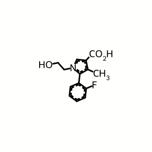 Cc1c(C(=O)O)cn(CCO)c1-c1ccccc1F